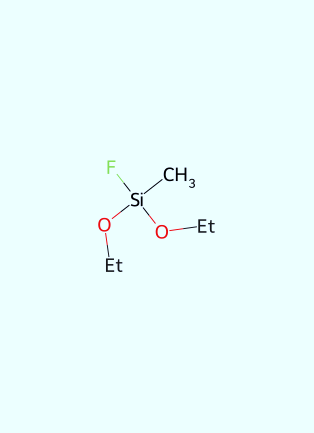 CCO[Si](C)(F)OCC